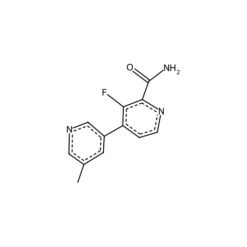 Cc1cncc(-c2ccnc(C(N)=O)c2F)c1